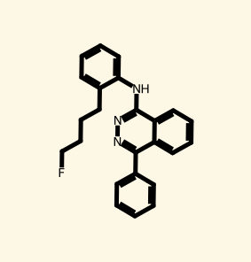 FCCCCc1ccccc1Nc1nnc(-c2ccccc2)c2ccccc12